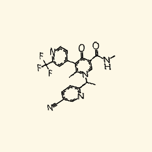 CNC(=O)c1cn(C(C)c2ccc(C#N)cn2)c(C)c(-c2ccnc(C(F)(F)F)c2)c1=O